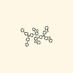 c1ccc(-c2ccc(N(c3ccc(-c4ccccc4)cc3)c3ccc(-c4c(-c5ccc6oc7ccccc7c6c5-c5ccc(N(c6ccc7c(c6)sc6ccccc67)c6ccc7c(c6)sc6ccccc67)cc5)ccc5oc6ccccc6c45)cc3)cc2)cc1